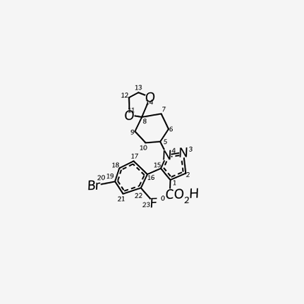 O=C(O)c1cnn(C2CCC3(CC2)OCCO3)c1-c1ccc(Br)cc1F